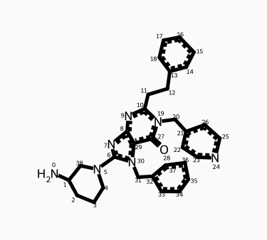 NC1CCCN(c2nc3nc(CCc4ccccc4)n(Cc4ccncc4)c(=O)c3n2Cc2ccccc2)C1